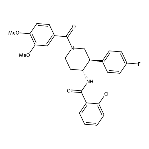 COc1ccc(C(=O)N2CC[C@@H](NC(=O)c3ccccc3Cl)[C@H](c3ccc(F)cc3)C2)cc1OC